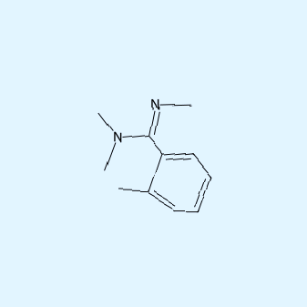 C/N=C(\c1ccccc1C)N(C)C